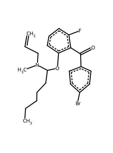 C=CCN(C)C(CCCCC)Oc1cccc(F)c1C(=O)c1ccc(Br)cc1